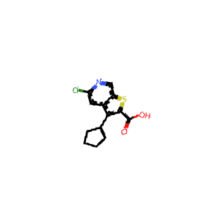 O=C(O)c1sc2cnc(Cl)cc2c1C1CCCC1